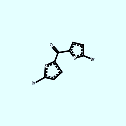 O=C(c1ccc(Br)s1)c1ccc(Br)s1